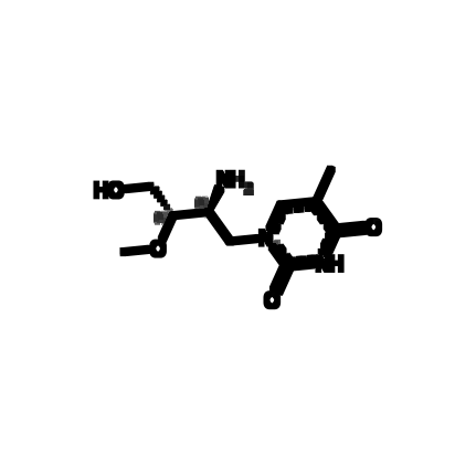 CO[C@H](CO)[C@@H](N)Cn1cc(C)c(=O)[nH]c1=O